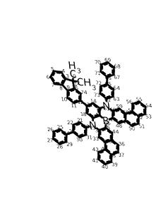 CC1(C)c2ccccc2-c2ccc(-c3cc4c5c(c3)N(c3ccc(-c6ccccc6)cc3)c3cc6c(ccc7ccccc76)cc3B5c3cc5ccc6ccccc6c5cc3N4c3ccc(-c4ccccc4)cc3)cc21